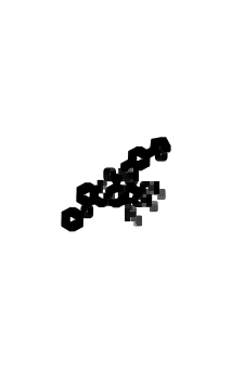 CC(C)C(=O)N1C(C)CN(Cc2c(F)cccc2Oc2ccccc2)CC1C(=O)NCc1ccc(-c2ccco2)cc1